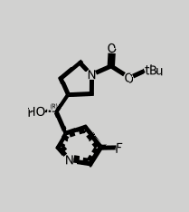 CC(C)(C)OC(=O)N1CCC([C@@H](O)c2cncc(F)c2)C1